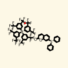 FC(F)(F)c1cc([B-](c2cc(C(F)(F)F)cc(C(F)(F)F)c2)(c2cc(C(F)(F)F)cc(C(F)(F)F)c2)c2cc(C(F)(F)F)cc(C(F)(F)F)c2)cc(C(F)(F)F)c1.O=c1ccc2ccc([S+](c3ccccc3)c3ccccc3)cc2o1